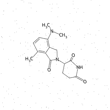 Cc1ccc(N(C)C)c2c1C(=O)N(C1CCC(=O)NC1=O)C2